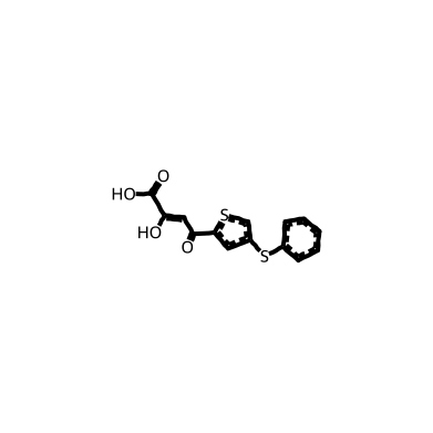 O=C(O)C(O)=CC(=O)c1cc(Sc2ccccc2)cs1